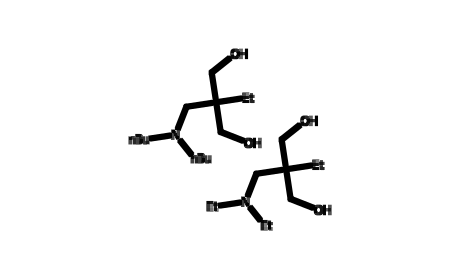 CCCCN(CCCC)CC(CC)(CO)CO.CCN(CC)CC(CC)(CO)CO